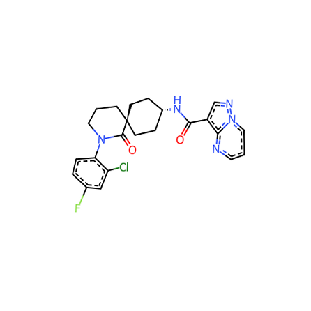 O=C(N[C@H]1CC[C@@]2(CCCN(c3ccc(F)cc3Cl)C2=O)CC1)c1cnn2cccnc12